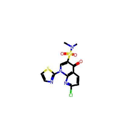 CN(C)S(=O)(=O)c1cn(-c2nccs2)c2nc(Cl)ccc2c1=O